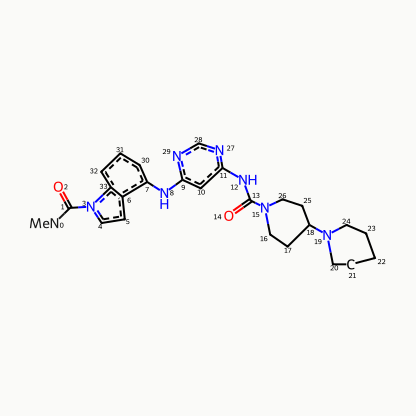 CNC(=O)n1ccc2c(Nc3cc(NC(=O)N4CCC(N5CCCCC5)CC4)ncn3)cccc21